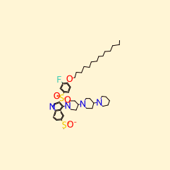 CCCCCCCCCCCCCCOc1ccc(S(=O)(=O)c2cnc3ccc([S+](C)[O-])cc3c2N2CCC(N3CCC(N4CCCCC4)CC3)CC2)cc1F